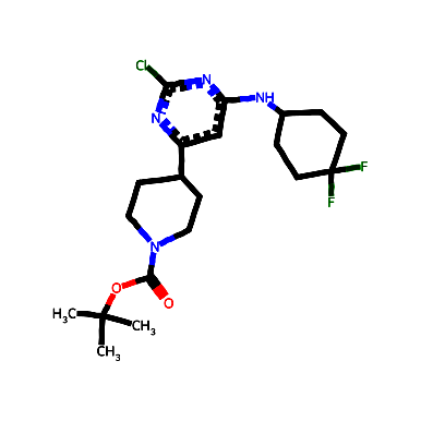 CC(C)(C)OC(=O)N1CCC(c2cc(NC3CCC(F)(F)CC3)nc(Cl)n2)CC1